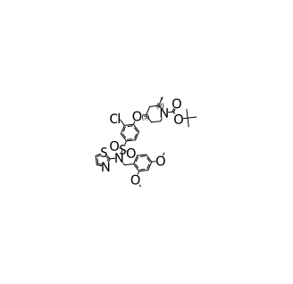 COc1ccc(CN(c2nccs2)S(=O)(=O)c2ccc(O[C@H]3CCN(C(=O)OC(C)(C)C)[C@H](C)C3)c(Cl)c2)c(OC)c1